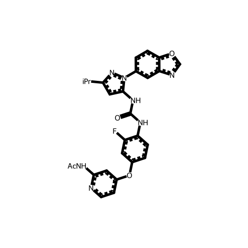 CC(=O)Nc1cc(Oc2ccc(NC(=O)Nc3cc(C(C)C)nn3-c3ccc4ocnc4c3)c(F)c2)ccn1